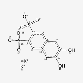 O=S(=O)([O-])c1cc2cc(O)c(O)cc2cc1S(=O)(=O)[O-].[K+].[K+]